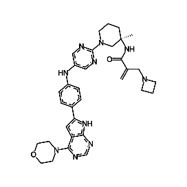 C=C(CN1CCC1)C(=O)N[C@]1(C)CCCN(c2ncc(Nc3ccc(-c4cc5c(N6CCOCC6)ncnc5[nH]4)cc3)cn2)C1